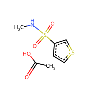 CC(=O)O.CNS(=O)(=O)c1ccsc1